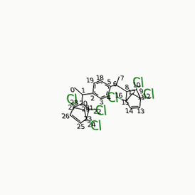 CC(c1ccc(C(C)C2C(Cl)C3(Cl)C=CC2(Cl)C3)cc1)C1C(Cl)C2(Cl)C=CC1(Cl)C2